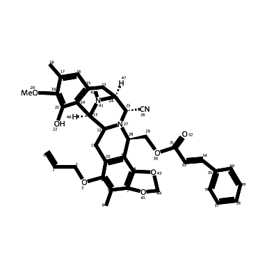 C=CCOc1c(C)c2c(c3c1CC1[C@H]4c5c(cc(C)c(OC)c5O)C[C@@H]([C@H](C#N)N1[C@H]3COC(=O)/C=C/c1ccccc1)N4C)OCO2